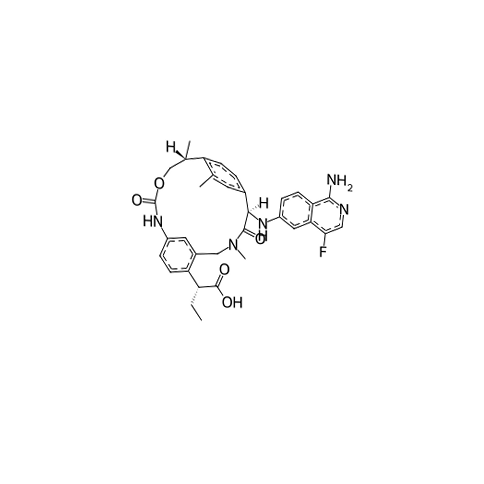 CC[C@@H](C(=O)O)c1ccc2cc1CN(C)C(=O)[C@H](Nc1ccc3c(N)ncc(F)c3c1)c1ccc(c(C)c1)[C@@H](C)COC(=O)N2